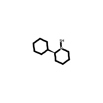 SN1CCCC[C@H]1C1CCCCC1